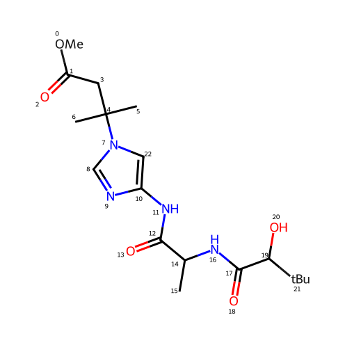 COC(=O)CC(C)(C)n1cnc(NC(=O)C(C)NC(=O)C(O)C(C)(C)C)c1